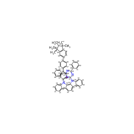 CC1C(C)(C)c2ccc(-c3ccc(-c4ccc(-n5c6ccccc6c6ccc7c8ccccc8n(-c8nc(-c9ccccc9)nc(-c9ccccc9)n8)c7c65)cc4)cc3)cc2C1(C)C